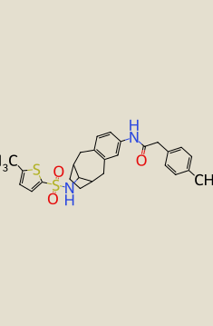 Cc1ccc(CC(=O)Nc2ccc3c(c2)CC2CCC(C3)C2NS(=O)(=O)c2ccc(C)s2)cc1